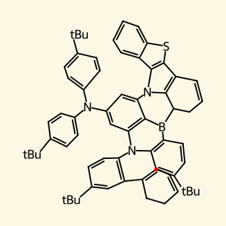 CC(C)(C)c1ccc(N(c2ccc(C(C)(C)C)cc2)c2cc3c4c(c2)-n2c5c(c6sc7ccccc7c62)C=CCC5B4c2ccc(C(C)(C)C)cc2N3c2ccc(C(C)(C)C)cc2C2=CC=CCC2)cc1